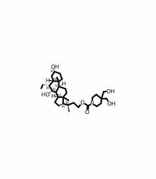 CC[C@H]1[C@@H](O)C2[C@@H]3CC[C@H]([C@H](C)CCOC(=O)N4CCC(CO)(CO)CC4)C3(C)CC[C@@H]2C2(C)CC[C@@H](O)C[C@@H]12